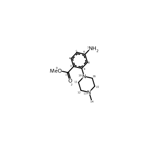 COC(=O)c1ccc(N)cc1N1CCN(C)CC1